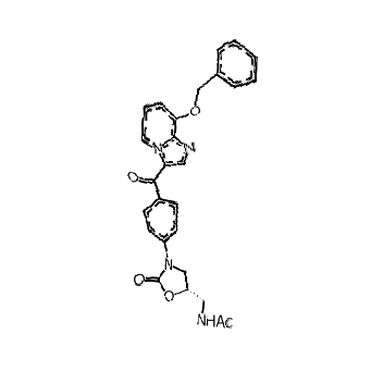 CC(=O)NC[C@H]1CN(c2ccc(C(=O)c3cnc4c(OCc5ccccc5)cccn34)cc2)C(=O)O1